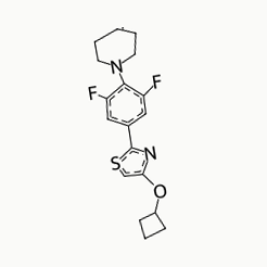 Fc1cc(-c2nc(OC3CCC3)cs2)cc(F)c1N1CC[CH]CC1